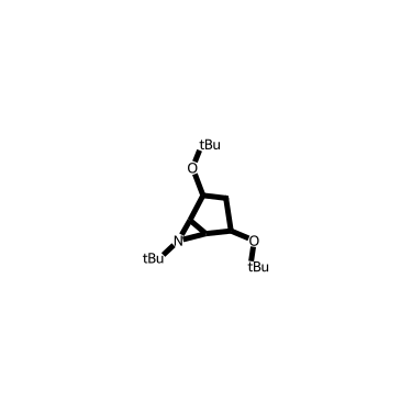 CC(C)(C)OC1CC(OC(C)(C)C)C2C1N2C(C)(C)C